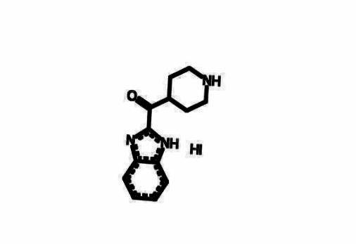 I.O=C(c1nc2ccccc2[nH]1)C1CCNCC1